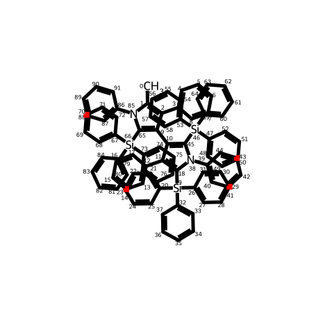 Cc1c(-c2ccccc2)c(-c2c(-c3ccccc3)c([Si](c3ccccc3)(c3ccccc3)c3ccccc3)n(-c3ccccc3)c2[Si](c2ccccc2)(c2ccccc2)c2ccccc2)c([Si](c2ccccc2)(c2ccccc2)c2ccccc2)n1-c1ccccc1